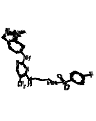 Cn1ncc2ccc(Nc3ncc(C(F)(F)F)c(NCCCNS(=O)(=O)c4ccc(F)cc4)n3)cc21